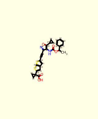 CC(OC(=O)Nc1c(C#Cc2cc3cc(C4(C(=O)O)CC4)sc3s2)noc1C1CC1)c1ccccc1